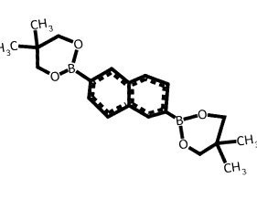 CC1(C)COB(c2ccc3cc(B4OCC(C)(C)CO4)ccc3c2)OC1